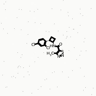 Cc1nnsc1C(=O)N[C@H]1CC[C@H]1c1ccc(Cl)cc1Cl